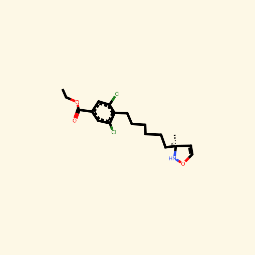 CCOC(=O)c1cc(Cl)c(CCCCCC[C@@]2(C)C=CON2)c(Cl)c1